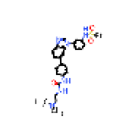 CCS(=O)(=O)Nc1cccc(-n2cnc3ccc(-c4ccc(NC(=O)NCCN(C)C)cc4)cc32)c1